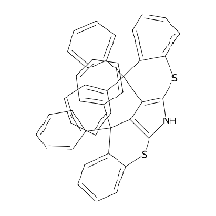 c1ccc(C2(c3ccccc3)c3ccccc3Sc3[nH]c4c(c32)C(c2ccccc2)(c2ccccc2)c2ccccc2S4)cc1